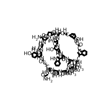 CCCC[C@H]1C(=O)N(C)[C@@H](CCCC)C(=O)N[C@@H](CC(C)C)C(=O)N[C@H](C(=O)NCC(N)=O)CSCC(=O)N[C@@H](Cc2ccc(O)cc2)C(=O)N(C)[C@@H](C)C(=O)N[C@@H](CC(N)=O)C(=O)N2CCC[C@H]2C(=O)N[C@H]2CNCc3cccc(c3F)B(O)OC(=O)Cn3cc(c4ccccc43)C[C@H](NC(=O)[C@H](CCN)NC(=O)[C@H](Cc3c[nH]c4ccccc34)NC(=O)[C@@H]3C[C@@H](O)CN3C(=O)[C@H](CC(C)C)NC2=O)C(=O)N1C